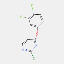 Fc1ccc(Oc2ccnc(Cl)n2)cc1F